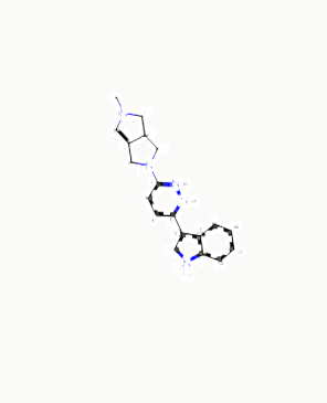 CN1C=C2CN(c3ccc(-c4c[nH]c5ccccc45)nn3)CC2C1